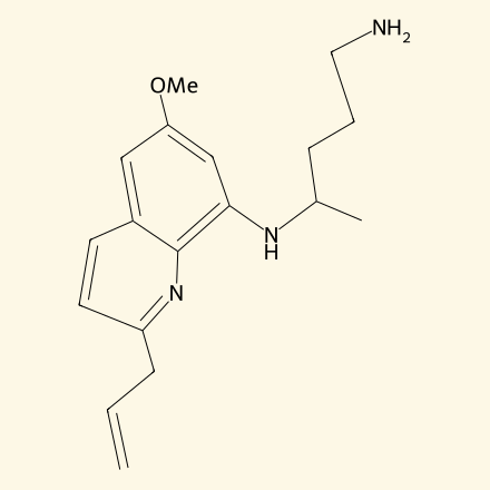 C=CCc1ccc2cc(OC)cc(NC(C)CCCN)c2n1